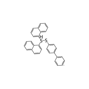 [c]1ccc(-c2ccc(S[SH](c3cccc4ccccc34)c3cccc4ccccc34)cc2)cc1